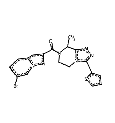 CC1c2nnc(-c3cccs3)n2CCN1C(=O)c1cc2ccc(Br)cn2n1